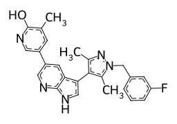 Cc1cc(-c2cnc3[nH]cc(-c4c(C)nn(Cc5cccc(F)c5)c4C)c3c2)cnc1O